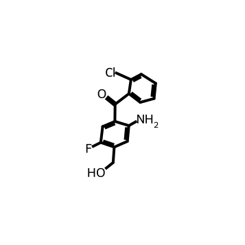 Nc1cc(CO)c(F)cc1C(=O)c1ccccc1Cl